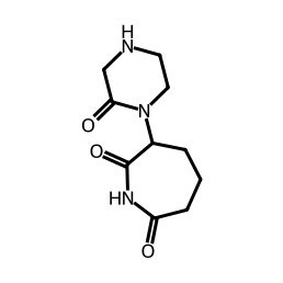 O=C1CCCC(N2CCNCC2=O)C(=O)N1